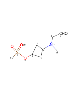 CN(CC=O)C1CC(OS(C)(=O)=O)C1